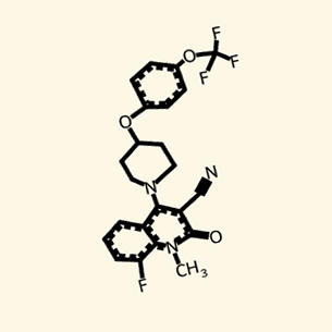 Cn1c(=O)c(C#N)c(N2CCC(Oc3ccc(OC(F)(F)F)cc3)CC2)c2cccc(F)c21